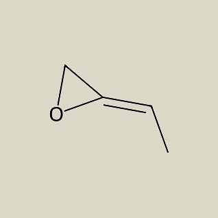 C/C=C1/CO1